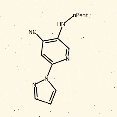 CCCCCNc1cnc(-n2cccn2)cc1C#N